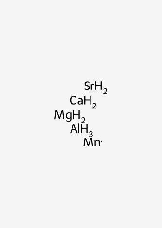 [AlH3].[CaH2].[MgH2].[Mn].[SrH2]